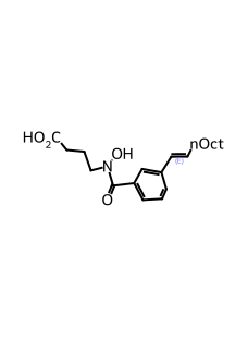 CCCCCCCC/C=C/c1cccc(C(=O)N(O)CCCC(=O)O)c1